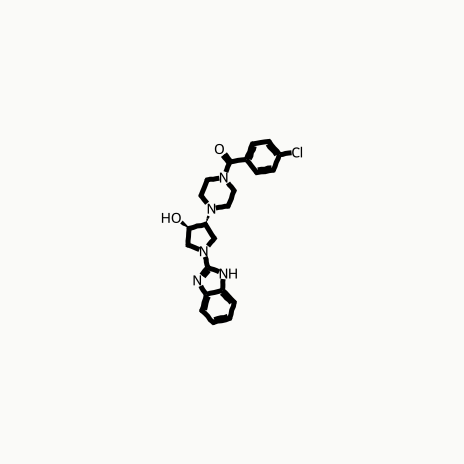 O=C(c1ccc(Cl)cc1)N1CCN([C@@H]2CN(c3nc4ccccc4[nH]3)C[C@H]2O)CC1